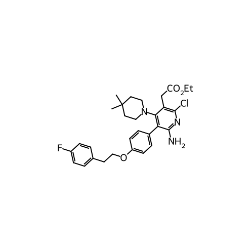 CCOC(=O)Cc1c(Cl)nc(N)c(-c2ccc(OCCc3ccc(F)cc3)cc2)c1N1CCC(C)(C)CC1